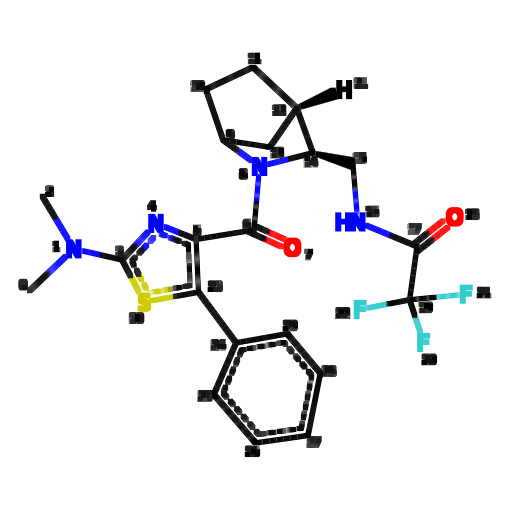 CN(C)c1nc(C(=O)N2C3CC[C@@H](C3)[C@H]2CNC(=O)C(F)(F)F)c(-c2ccccc2)s1